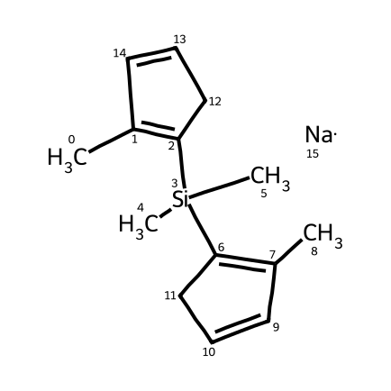 CC1=C([Si](C)(C)C2=C(C)C=CC2)CC=C1.[Na]